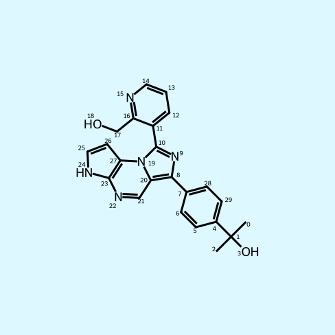 CC(C)(O)c1ccc(-c2nc(-c3cccnc3CO)n3c2cnc2[nH]ccc23)cc1